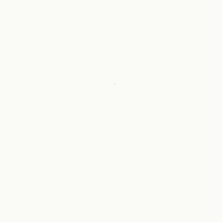 O=C(O)C1(Sc2ccnc3sc(Br)cc23)CCC1